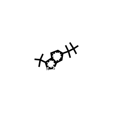 CC(C)(C)c1nsc2cc(C(C)(C)C(C)(C)C)ccc12